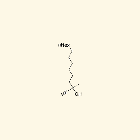 C#CC(C)(O)CCCCCCCCCCCC